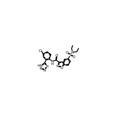 CCN(CC)S(=O)(=O)c1ccc2onc(C(=O)Nc3ccc(Cl)cc3-c3nnn[nH]3)c2c1